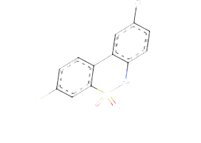 O=S1(=O)Nc2ccc(C(F)(F)F)cc2-c2ccc(F)cc21